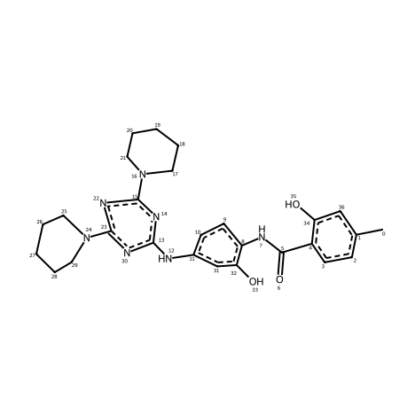 Cc1ccc(C(=O)Nc2ccc(Nc3nc(N4CCCCC4)nc(N4CCCCC4)n3)cc2O)c(O)c1